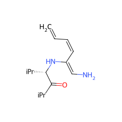 C=C/C=C\C(=C/N)N[C@H](C(=O)C(C)C)C(C)C